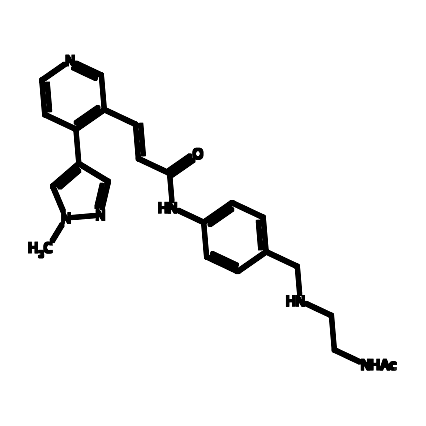 CC(=O)NCCNCc1ccc(NC(=O)C=Cc2cnccc2-c2cnn(C)c2)cc1